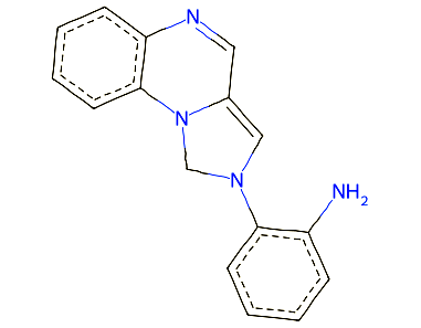 Nc1ccccc1N1C=C2C=Nc3ccccc3N2C1